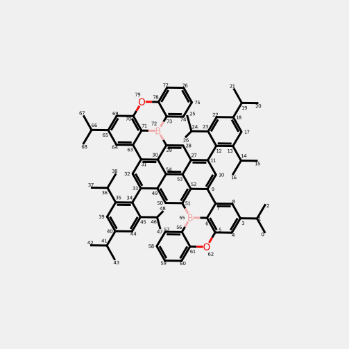 CC(C)c1cc2c3c(c1)-c1cc(-c4c(C(C)C)cc(C(C)C)cc4C(C)C)c4cc5c6c(cc(-c7c(C(C)C)cc(C(C)C)cc7C(C)C)c7cc(c1c4c76)B3c1ccccc1O2)-c1cc(C(C)C)cc2c1B5c1ccccc1O2